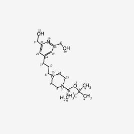 C=C(OC(C)(C)C)N1CCN(CCCc2cc(CO)nc(CO)c2)CC1